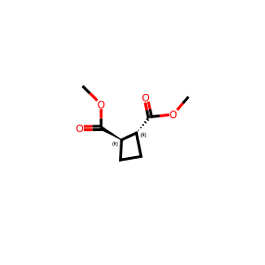 COC(=O)[C@@H]1CC[C@H]1C(=O)OC